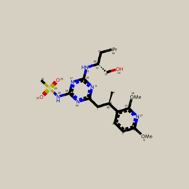 COc1ccc([C@H](C)Cc2nc(N[C@@H](CO)CC(C)C)nc(NS(C)(=O)=O)n2)c(OC)n1